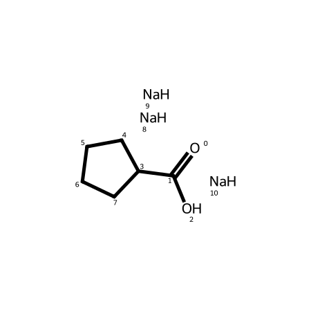 O=C(O)C1CCCC1.[NaH].[NaH].[NaH]